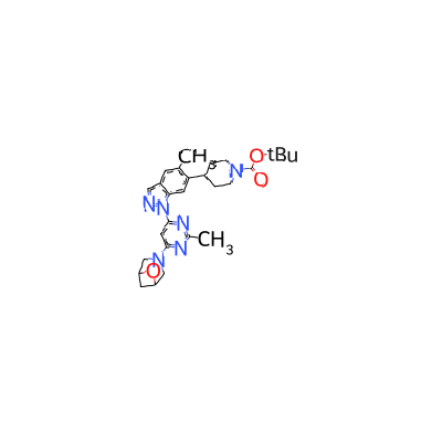 Cc1nc(N2CC3CC(C2)O3)cc(-n2ncc3cc(C)c(C4CCN(C(=O)OC(C)(C)C)CC4)cc32)n1